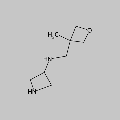 CC1(CNC2CNC2)COC1